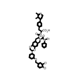 CCN(C(=O)N1Cc2cc3c(cc2C[C@H]1C(=O)N[C@@H](Cc1ccc(-c2ccnc(C)c2C)cc1)C(=O)O)OC[C@H](c1cccc(OCc2ccc(Cl)c(Cl)c2)c1)O3)c1ccccc1